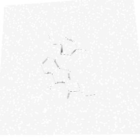 CCCN1Cc2nc3c(-c4cc(C)ccc4OC)cccc3c(N)c2C1=O